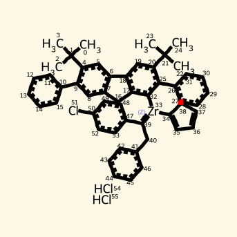 CC(C)(C)c1cc2c(cc1-c1ccccc1)Cc1c-2cc(C(C)(C)C)c(-c2ccccc2)[c]1/[Zr]([C]1=CC=CC1)=[C](/Cc1ccccc1)c1ccc(Cl)cc1.Cl.Cl